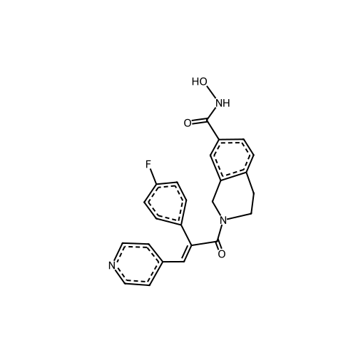 O=C(NO)c1ccc2c(c1)CN(C(=O)C(=Cc1ccncc1)c1ccc(F)cc1)CC2